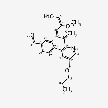 C=C(/C=C\C(=C/C)OC)c1ncc(COCCC)cc1-c1ccc(C=O)cc1